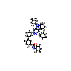 c1ccc(-c2nc(-c3cccc(-c4cccc(-c5nc6ccccc6o5)c4)c3)nc3c2c2ccccc2n3-c2ccccc2)cc1